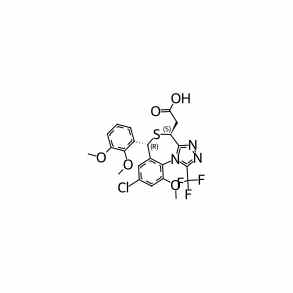 COc1cccc([C@@H]2S[C@@H](CC(=O)O)c3nnc(C(F)(F)F)n3-c3c(OC)cc(Cl)cc32)c1OC